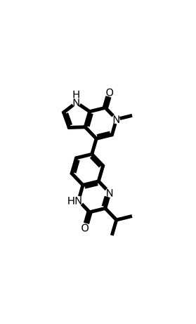 CC(C)c1nc2cc(-c3cn(C)c(=O)c4[nH]ccc34)ccc2[nH]c1=O